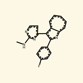 CNc1nccc(-c2c3cccccc-3nc2-c2ccc(F)cc2)n1